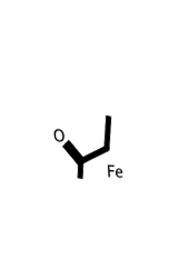 CCC(C)=O.[Fe]